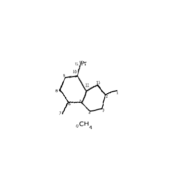 C.CC1CCC2C(C)CCC(C(C)C)C2C1